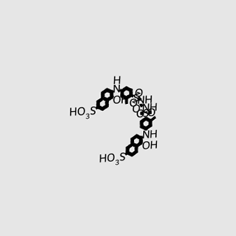 Cc1cc(Nc2ccc3cc(S(=O)(=O)O)ccc3c2O)ccc1S(=O)(=O)NC(=O)NS(=O)(=O)c1ccc(Nc2ccc3cc(S(=O)(=O)O)ccc3c2O)cc1C